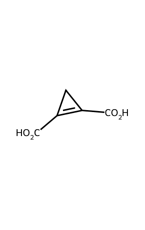 O=C(O)C1=C(C(=O)O)C1